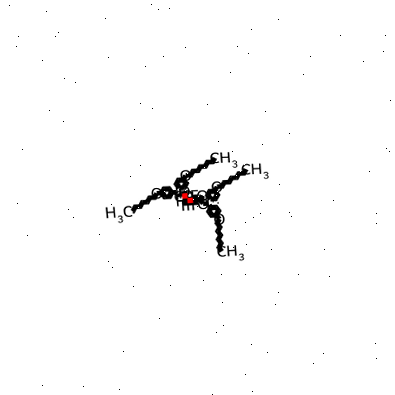 CCCCCCCCOc1ccc([I+](OC(=O)C(F)(F)C(F)(F)C(F)(F)S(=O)(=O)O[I+](c2ccc(OCCCCCCCC)cc2)c2ccc(OCCCCCCCC)cc2)c2ccc(OCCCCCCCC)cc2)cc1